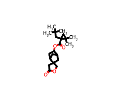 CC(C)(C)CC1(C(=O)OC2CC3CC2CC32COC(=O)C2)CC1(C)C